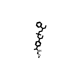 CCC(CCC(C)(C)CC(CC)c1ccc(C(C)NCOC)cc1)c1ccccc1